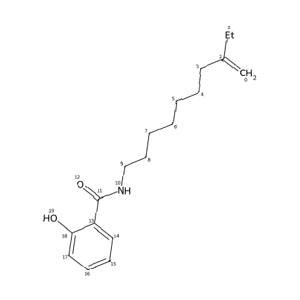 C=C(CC)CCCCCCCNC(=O)c1ccccc1O